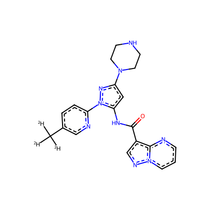 [2H]C([2H])([2H])c1ccc(-n2nc(N3CCNCC3)cc2NC(=O)c2cnn3cccnc23)nc1